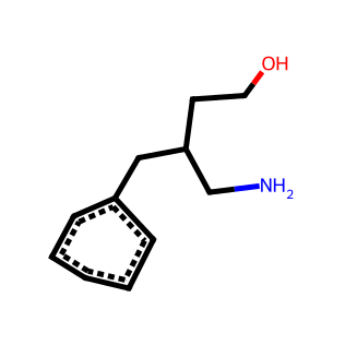 NCC(CCO)Cc1ccccc1